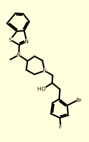 CN(c1nc2ccccc2s1)C1CCN(CC(O)Cc2ccc(F)cc2Br)CC1